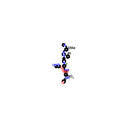 COc1ccc(CN2CCN(C3CC4(CCN(c5cc(Oc6cnc7[nH]ccc7c6)c(C(=O)NS(=O)(=O)c6ccc(NCC7(F)CCOCC7)c([N+](=O)[O-])c6)cc5F)CC4)C3)[C@H](c3ccccc3C(C)C)C2)cc1CN1CCCC1